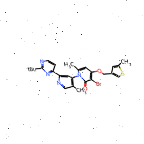 Cc1cc(COc2cc(C)n(-c3cc(-c4ccnc(C(C)(C)C)n4)ncc3C)c(=O)c2Br)cs1